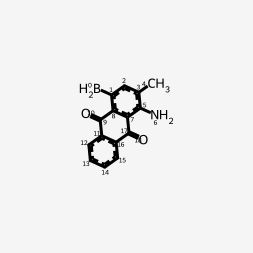 Bc1cc(C)c(N)c2c1C(=O)c1ccccc1C2=O